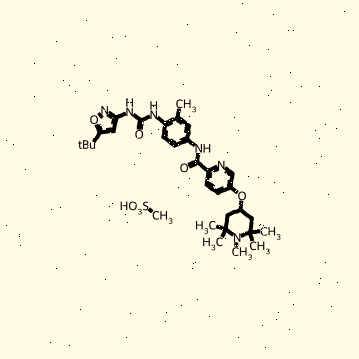 CS(=O)(=O)O.Cc1cc(NC(=O)c2ccc(OC3CC(C)(C)N(C)C(C)(C)C3)cn2)ccc1NC(=O)Nc1cc(C(C)(C)C)on1